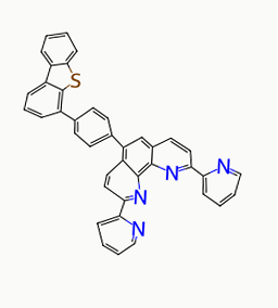 c1ccc(-c2ccc3cc(-c4ccc(-c5cccc6c5sc5ccccc56)cc4)c4ccc(-c5ccccn5)nc4c3n2)nc1